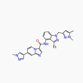 CCc1nn(Cc2cc(C)n(C)n2)c2cccc(NC(=O)c3cnc4cc(-c5cnn(C)c5)ccn34)c12